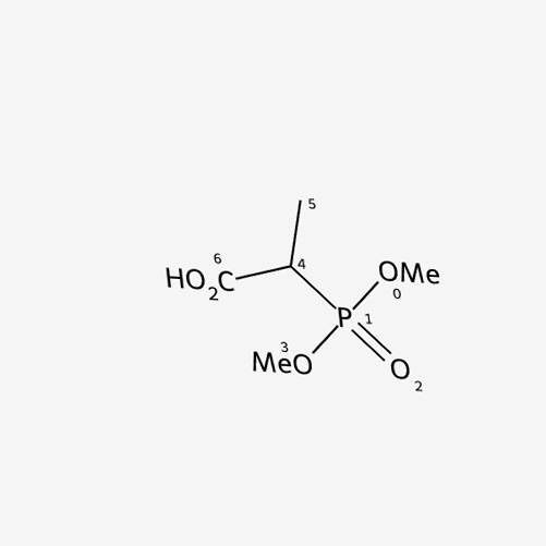 COP(=O)(OC)C(C)C(=O)O